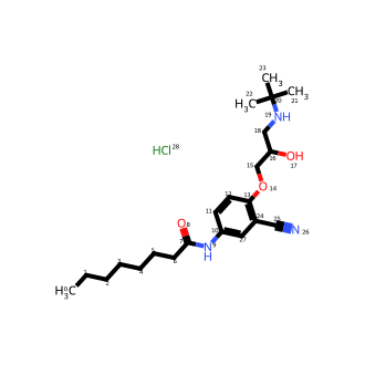 CCCCCCCC(=O)Nc1ccc(OCC(O)CNC(C)(C)C)c(C#N)c1.Cl